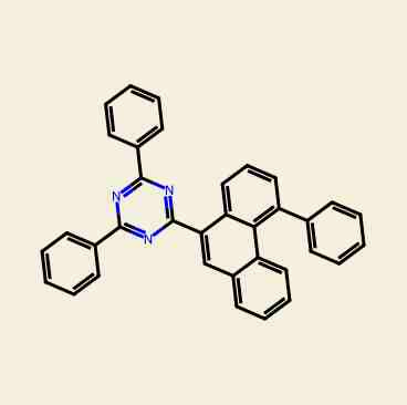 c1ccc(-c2nc(-c3ccccc3)nc(-c3cc4ccccc4c4c(-c5ccccc5)cccc34)n2)cc1